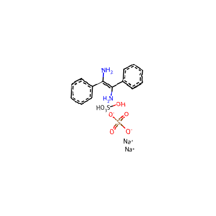 NC(=C(N)c1ccccc1)c1ccccc1.O=S(=O)(O)O.O=S(=O)([O-])[O-].[Na+].[Na+]